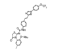 CCC(C)Oc1ccc(C)cc1N1C(=O)CSC1=NC(=O)Nc1ccc(C=Cc2ncn(-c3ccc(OC(F)(F)F)cc3)n2)cc1